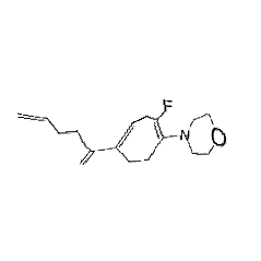 C=CCCC(=C)C1=CC(F)=C(N2CCOCC2)CC1